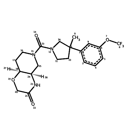 CC1(c2cccc(OC(F)(F)F)c2)CCN(C(=O)N2CC[C@@H]3OCC(=O)N[C@@H]3C2)C1